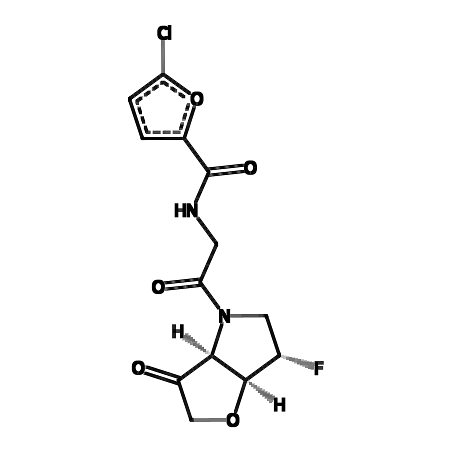 O=C(NCC(=O)N1C[C@H](F)[C@H]2OCC(=O)[C@H]21)c1ccc(Cl)o1